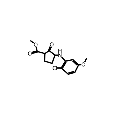 COC(=O)C1CCC(Nc2cc(OC)ccc2Cl)C1=O